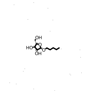 CCCCCO[C@@H]1O[C@@H](CO)[C@H](O)[C@H]1O